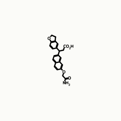 NC(=O)COc1ccc2ccc(C(CC(=O)O)c3ccc4c(c3)CCO4)cc2c1